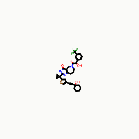 O=C(C(O)c1cccc(C(F)(F)F)c1)N1CCCc2nc(C3(c4cc(C#CC5(O)CCCCC5)cs4)CC3)[nH]c(=O)c2C1